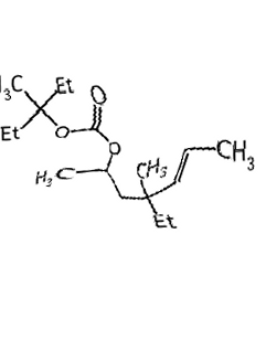 CC=CC(C)(CC)CC(C)OC(=O)OC(C)(CC)CC